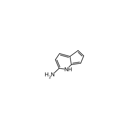 Nc1ccc2cccc-2[nH]1